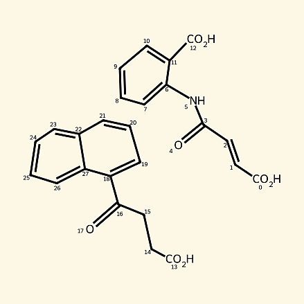 O=C(O)C=CC(=O)Nc1ccccc1C(=O)O.O=C(O)CCC(=O)c1cccc2ccccc12